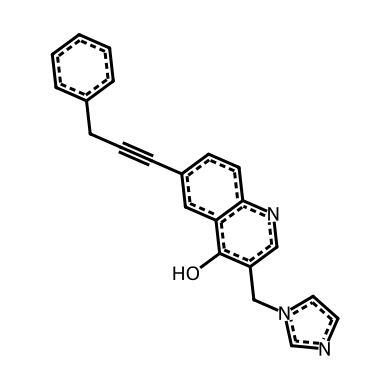 Oc1c(Cn2ccnc2)cnc2ccc(C#CCc3ccccc3)cc12